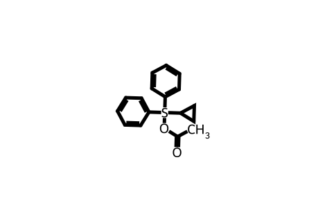 CC(=O)OS(c1ccccc1)(c1ccccc1)C1CC1